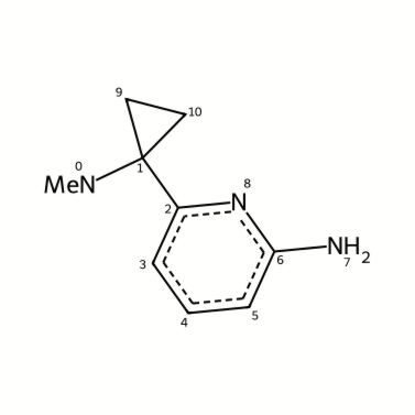 CNC1(c2cccc(N)n2)CC1